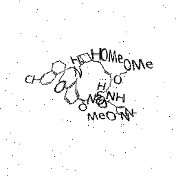 COCCO[C@H]1/C=C/[C@H](OC)[C@@H]2CC[C@H]2CN2C[C@@]3(CCCc4cc(Cl)ccc43)COc3ccc(cc32)C(=O)/N=[SH](=O)\C(NC(=O)c2cn(C)nc2OC)[C@H]1C